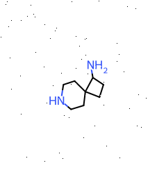 NC1CCC12CCNCC2